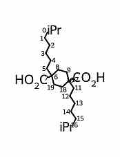 CC(C)CCCCCC1(C(=O)O)CCC(CCCCCC(C)C)(C(=O)O)CC1